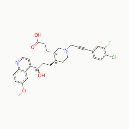 COc1ccc2nccc([C@H](O)CC[C@@H]3CCN(CC#Cc4ccc(Cl)c(F)c4)C[C@H]3CCC(=O)O)c2c1